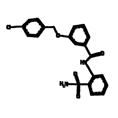 NS(=O)(=O)c1ccccc1NC(=O)c1cccc(OCc2ccc(Cl)cc2)c1